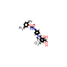 CC1CCC(C(C)C)C(OCC(=O)NCc2ccc(N(CC(=O)O)Cc3cc([N+](=O)[O-])cc(CO)c3O)cc2)C1